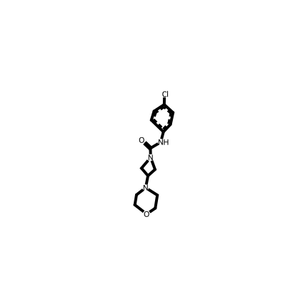 O=C(Nc1ccc(Cl)cc1)N1CC(N2CCOCC2)C1